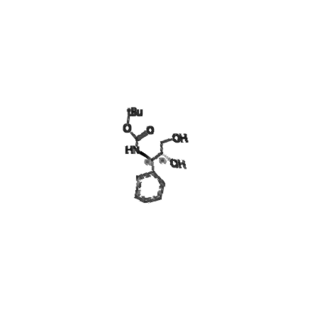 CC(C)(C)OC(=O)N[C@H](c1ccccc1)[C@@H](O)CO